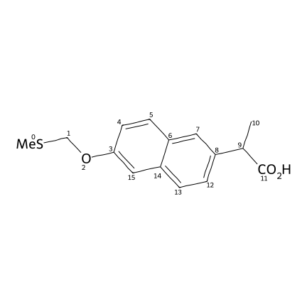 CSCOc1ccc2cc(C(C)C(=O)O)ccc2c1